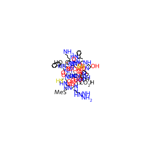 CSCC[C@H](NC(=O)[C@H](CS)NC(=O)[C@@H](CC(=O)O)NC(=O)[C@H](Cc1cccc2ccccc12)NC(=O)[C@@H]1CCCN1C(=O)[C@@H](N)CS)C(=O)N[C@@H](CCCCNC(=N)N)C(=O)N[C@@H](CC(=O)O)C(=O)N[C@@H](Cc1c[nH]c2ccccc12)C(=O)N[C@@H](CO)C(=O)N[C@H](C(=O)N1CCC[C@H]1C(=O)N1C[C@H](O)C[C@H]1C(=O)N[C@@H](Cc1c[nH]c2ccccc12)C(=O)N[C@@H](CS)C(=O)N[C@@H](CCCCN)C(=O)O)[C@@H](C)O